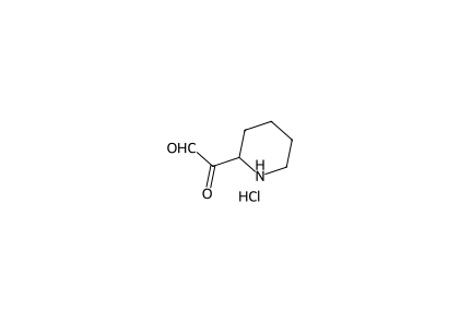 Cl.O=CC(=O)C1CCCCN1